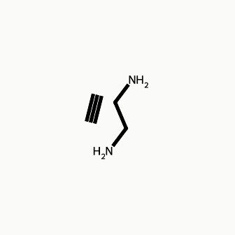 C#C.NCCN